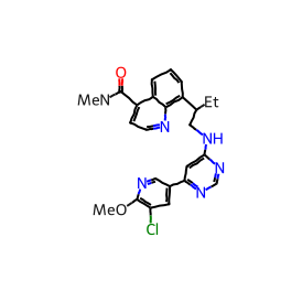 CCC(CNc1cc(-c2cnc(OC)c(Cl)c2)ncn1)c1cccc2c(C(=O)NC)ccnc12